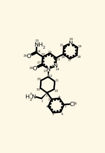 NC[C@]1(c2cccc(Cl)c2)CC[C@H](n2nc(-c3cccnc3)cc(C(N)=O)c2=O)CC1